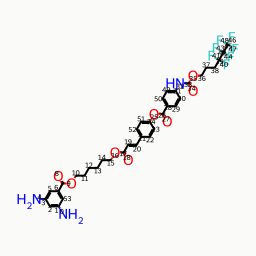 Nc1cc(N)cc(C(=O)OCCCCCCOC(=O)/C=C/c2ccc(OC(=O)c3ccc(NC(=O)OCCCC(F)(F)C(F)(F)C(F)(F)F)cc3)cc2)c1